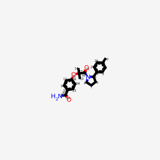 Cc1ccc(C2CCCN2C(=O)C(C)(C)Oc2ccc(C(N)=O)cc2)cc1